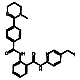 CN1CCCN=C1c1ccc(C(=O)Nc2ccccc2C(=O)Nc2ccc(CI)cn2)cc1